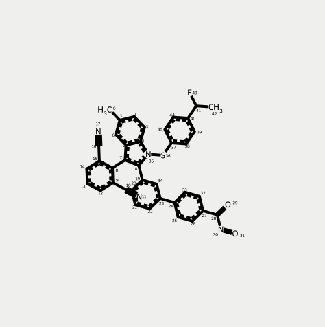 Cc1ccc2c(c1)c(-c1c(C#N)cccc1C#N)c(-c1cccc(-c3ccc(C(=O)N=O)cc3)c1)n2Sc1ccc(C(C)F)cc1